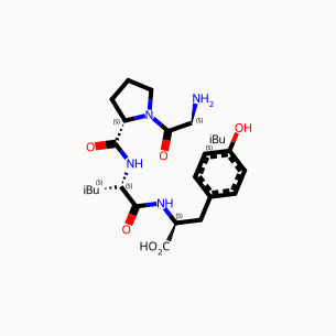 CC[C@H](C)[C@H](N)C(=O)N1CCC[C@H]1C(=O)N[C@H](C(=O)N[C@@H](Cc1ccc(O)cc1)C(=O)O)[C@@H](C)CC